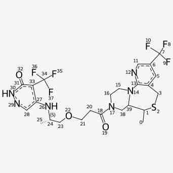 CC1SCc2cc(C(F)(F)F)cnc2N2CCN(C(=O)CCOC[C@H](C)Nc3cn[nH]c(=O)c3C(F)(F)F)CC12